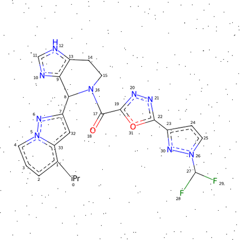 CC(C)c1cccn2nc(C3c4nc[nH]c4CCN3C(=O)c3nnc(-c4ccn(C(F)F)n4)o3)cc12